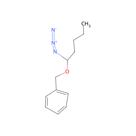 CCCCC(N=[N+]=[N-])OCc1ccccc1